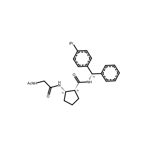 CC(=O)NCC(=O)N[C@H]1CCC[C@H]1C(=O)N[C@@H](c1ccccc1)c1ccc(C(C)C)cc1